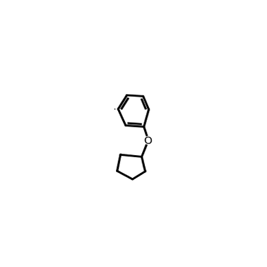 [c]1cccc(OC2CCCC2)c1